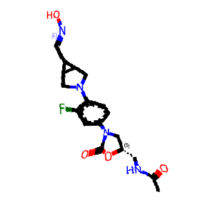 CC(=O)NC[C@H]1CN(c2ccc(N3CC4C(/C=N/O)C4C3)c(F)c2)C(=O)O1